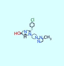 Cc1ccnc(N2CCC(N3C[C@@H]4C[C@@H](O)CN4C[C@@H]3Cc3ccc(Cl)cc3)CC2)n1